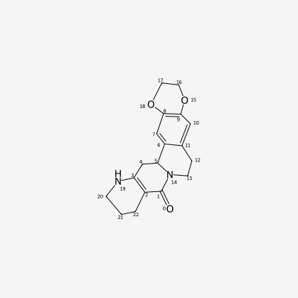 O=C1C2=C(CC3c4cc5c(cc4CCN13)OCCO5)NCCC2